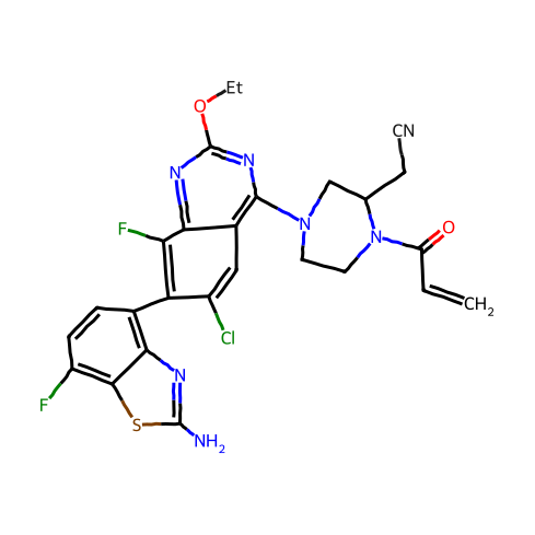 C=CC(=O)N1CCN(c2nc(OCC)nc3c(F)c(-c4ccc(F)c5sc(N)nc45)c(Cl)cc23)CC1CC#N